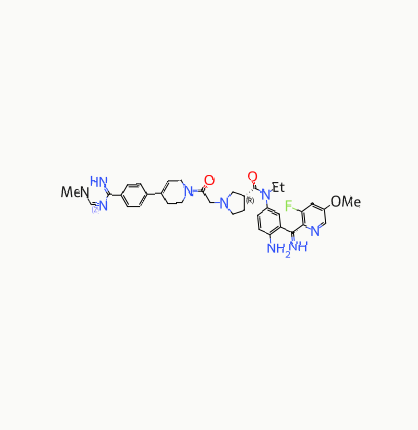 CCN(C(=O)[C@@H]1CCN(CC(=O)N2CC=C(c3ccc(C(=N)/N=C\NC)cc3)CC2)C1)c1ccc(N)c(C(=N)c2ncc(OC)cc2F)c1